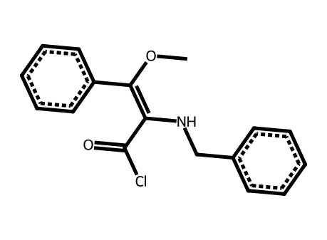 COC(=C(NCc1ccccc1)C(=O)Cl)c1ccccc1